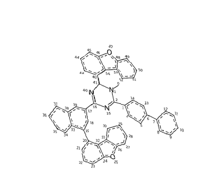 CN1C(c2ccc(-c3ccccc3)cc2)=NC(c2cc(-c3cccc4oc5ccccc5c34)c3ccccc3c2)=NC1c1cccc2oc3ccccc3c12